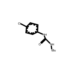 CC(C)(C)NC(=O)Nc1ccc(Cl)cc1